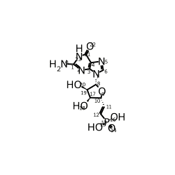 Nc1nc2c(ncn2[C@@H]2O[C@H](/C=C/P(=O)(O)O)[C@@H](O)[C@H]2O)c(=O)[nH]1